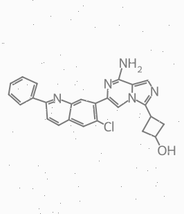 Nc1nc(-c2cc3nc(-c4ccccc4)ccc3cc2Cl)cn2c(C3CC(O)C3)ncc12